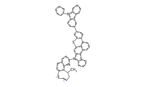 CC1C/C=C/C=C\c2ccc3ccc(-n4c5ccccc5c5c6cccc7c6c(cc54)Sc4cc(-c5ccc6c(c5)c5ccccc5n6-c5ccccc5)ccc4-7)nc3c21